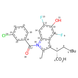 Cc1c([C@H](CC(C)(C)C)C(=O)O)c2c(F)c(O)c(F)cc2n1C(=O)c1cccc(Cl)c1